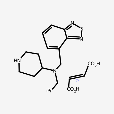 CC(C)CN(Cc1cccc2nsnc12)C1CCNCC1.O=C(O)/C=C/C(=O)O